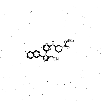 CC(C)(C)OC(=O)N1CCCC(Nc2nccc(-n3c(CC#N)cnc3-c3ccc4ccccc4c3)n2)C1